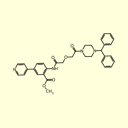 COC(=O)c1cc(-c2ccncc2)ccc1NC(=O)COCC(=O)N1CCN(C(c2ccccc2)c2ccccc2)CC1